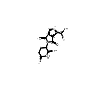 O=C1CCC(N2C(=O)c3csc(C(F)F)c3C2=O)C(=O)N1